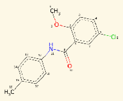 COc1ccc(Cl)cc1C(=O)Nc1ccc(C)cc1